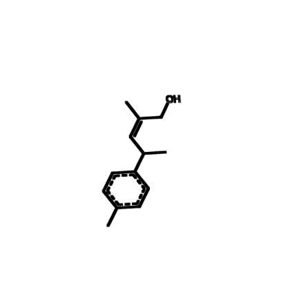 CC(=CC(C)c1ccc(C)cc1)CO